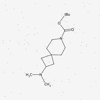 CN(C)C1CC2(CCN(C(=O)OC(C)(C)C)CC2)C1